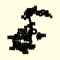 CC(C)[C@H](NC(=O)[C@H](N)CCCCNC(=O)COC1CCCCCc2c1nnn2CC1OC2OC3C(CO)OC(OC4C(CO)OC(OC5C(CO)OC(OC6C(CO)OC(OC7C(CO)OC(OC1C(O)C2O)C(O)C7O)C(O)C6O)C(O)C5O)C(O)C4O)C(O)C3O)C(=O)N[C@@H](C)C(=O)Nc1ccc2c(c1)C1(C)CCCC(C)(C(N)=O)C1CC2.O=C(O)C(F)(F)F